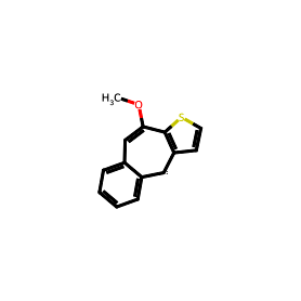 COC1=Cc2ccccc2[C]c2ccsc21